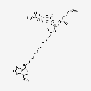 CCCCCCCCCCCCCC(=O)OC[C@H](COP(=O)([O-])OCC[N+](C)(C)C)OC(=O)CCCCCCCCCCCNc1ccc([N+](=O)[O-])c2nonc12